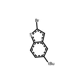 CC(C)(C)c1ccc2sc(Br)cc2c1